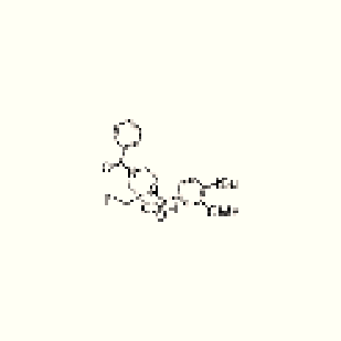 COc1cc(C(=O)N2CCN(C(=O)c3ccccc3)CC2(CC(C)C)C(=O)O)ccc1C(C)(C)C